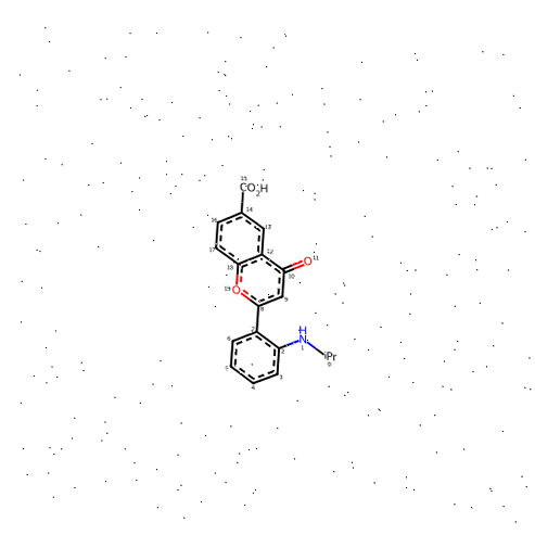 CC(C)Nc1ccccc1-c1cc(=O)c2cc(C(=O)O)ccc2o1